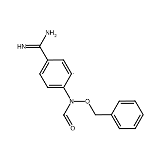 N=C(N)c1c[c]c(N(C=O)OCc2ccccc2)cc1